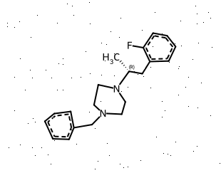 C[C@H](Cc1ccccc1F)N1CCN(Cc2ccccc2)CC1